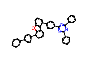 c1ccc(-c2ccc(-c3cccc4c3oc3cccc(-c5ccc(-c6nc(-c7ccccc7)nc(-c7ccccc7)n6)cc5)c34)cc2)cc1